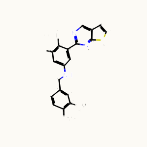 COc1ccc(CNc2cc(-c3ncc4ccsc4n3)c(C(=O)O)c(C(F)(F)F)c2)cc1OC